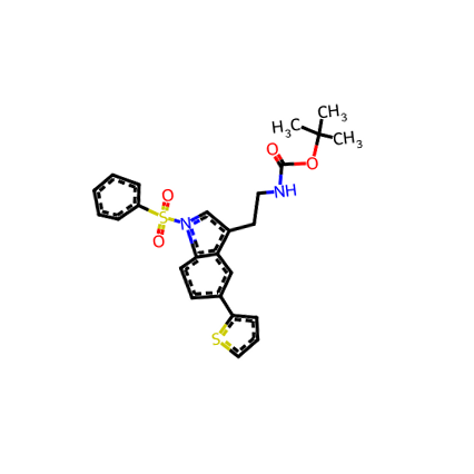 CC(C)(C)OC(=O)NCCc1cn(S(=O)(=O)c2ccccc2)c2ccc(-c3cccs3)cc12